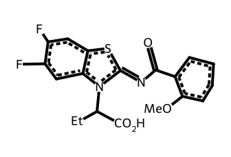 CCC(C(=O)O)n1c(=NC(=O)c2ccccc2OC)sc2cc(F)c(F)cc21